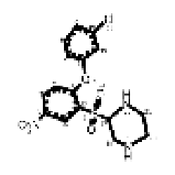 O=[N+]([O-])c1ccc(Oc2cccc(Cl)c2)c(S(=O)(=O)C2CNCCN2)c1